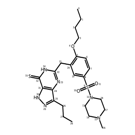 CCCCOc1ccc(S(=O)(=O)N2CCN(C)CC2)cc1Cc1nc2c(CCC)n[nH]c2c(=S)[nH]1